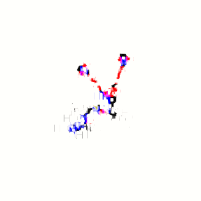 CC[C@H](C)[C@H](NCC(C)(C)N(C)C)C(=O)N(C)C(C[C@@H](OC(C)=O)c1nc(C(=O)N[C@@H](Cc2ccc(OC(=O)CCOCCOCCN3C(=O)C=CC3=O)c(NC(=O)CCOCCOCCN3C(=O)C=CC3=O)c2)CC(C)C(=O)O)cs1)C(C)C